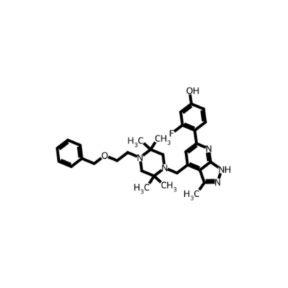 Cc1n[nH]c2nc(-c3ccc(O)cc3F)cc(CN3CC(C)(C)N(CCOCc4ccccc4)CC3(C)C)c12